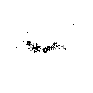 Cc1noc(N2CC3(CCC(N4C[C@@H]5[C@H](C4)[C@H]5C(=O)NC4(C)CCC4)C3)C2)n1